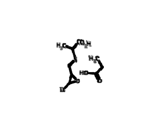 CCC(=O)O.CCC1OC1CSC(C)C(=O)O